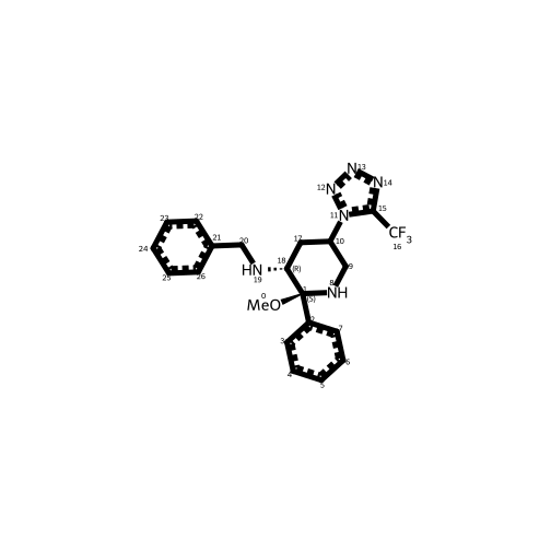 CO[C@]1(c2ccccc2)NCC(n2nnnc2C(F)(F)F)C[C@H]1NCc1ccccc1